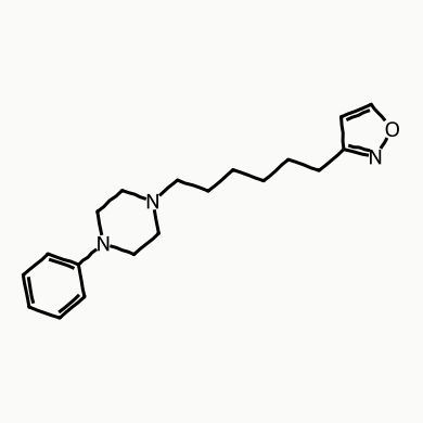 c1ccc(N2CCN(CCCCCCc3ccon3)CC2)cc1